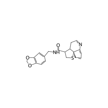 O=C(NCc1ccc2c(c1)OCO2)C1CS[C@@]23CC=CC=C2N=CCC13